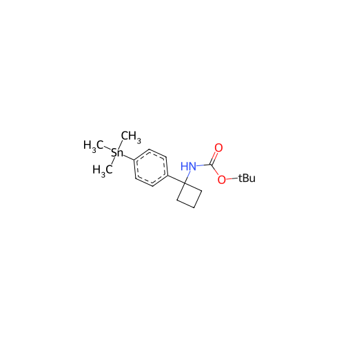 CC(C)(C)OC(=O)NC1(c2cc[c]([Sn]([CH3])([CH3])[CH3])cc2)CCC1